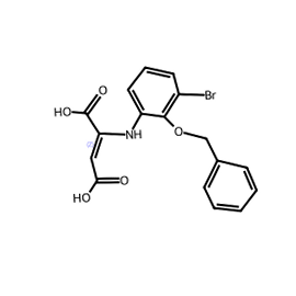 O=C(O)/C=C(\Nc1cccc(Br)c1OCc1ccccc1)C(=O)O